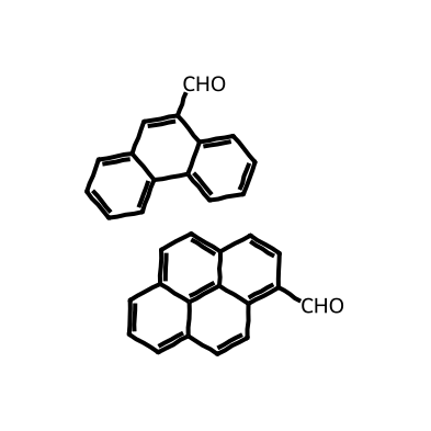 O=Cc1cc2ccccc2c2ccccc12.O=Cc1ccc2ccc3cccc4ccc1c2c34